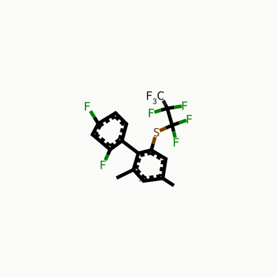 Cc1[c]c(C)c(-c2ccc(F)cc2F)c(SC(F)(F)C(F)(F)C(F)(F)F)c1